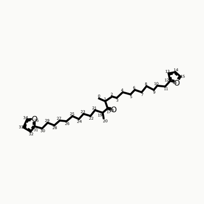 CC(CCCCCCCCCCc1ccco1)C(=O)C(C)CCCCCCCCCCc1ccco1